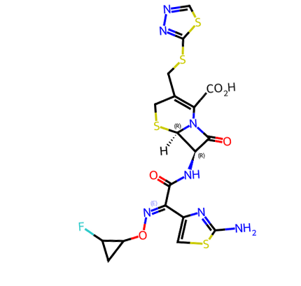 Nc1nc(/C(=N\OC2CC2F)C(=O)N[C@@H]2C(=O)N3C(C(=O)O)=C(CSc4nncs4)CS[C@H]23)cs1